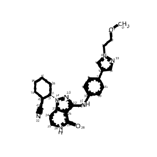 COCCn1cc(-c2ccc(Nc3nn([C@H]4CCCCC4C#N)c4cc[nH]c(=O)c34)cc2)cn1